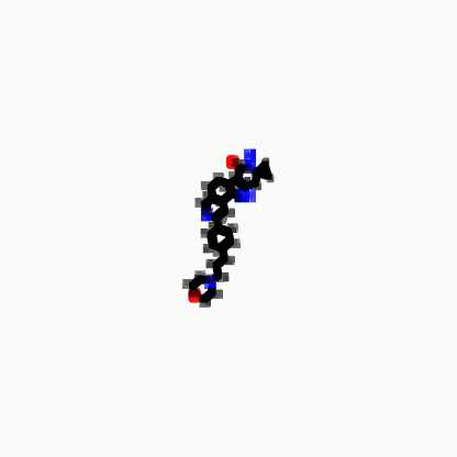 O=C1NC2(CC2)Cc2[nH]c3c(c21)CCc1cnc(-c2ccc(CCCN4CCOCC4)cc2)cc1-3